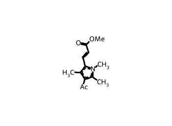 COC(=O)C=Cc1c(C)c(C(C)=O)c(C)n1C